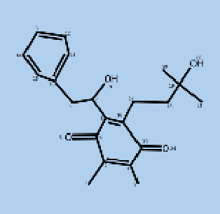 CC1=C(C)C(=O)C(C(O)Cc2ccccc2)=C(CCC(C)(C)O)C1=O